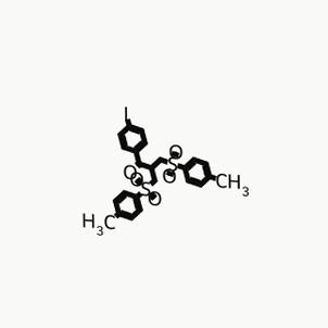 Cc1ccc(S(=O)(=O)CC(CS(=O)(=O)c2ccc(C)cc2)C(=O)c2ccc(I)cc2)cc1